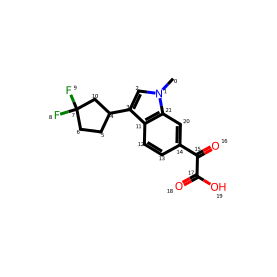 Cn1cc(C2CCC(F)(F)C2)c2ccc(C(=O)C(=O)O)cc21